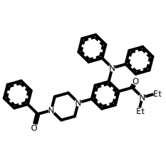 CCN(CC)C(=O)c1ccc(N2CCN(C(=O)c3ccccc3)CC2)cc1N(c1ccccc1)c1ccccc1